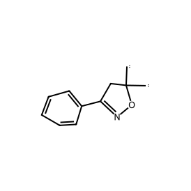 [CH]C1([CH])CC(c2ccccc2)=NO1